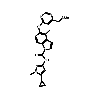 CNCc1cc(Oc2ccc3c(ccn3C(=O)Nc3cc(C4CC4)n(C)n3)c2C)ncn1